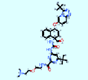 CN(C)CCOCCNC(=O)c1nc(NC(=O)N[C@@]2(C=O)C=C[C@@H](Oc3ccc4nnc(C(C)(C)C)n4c3)c3ccccc32)cc(C(C)(C)C)n1